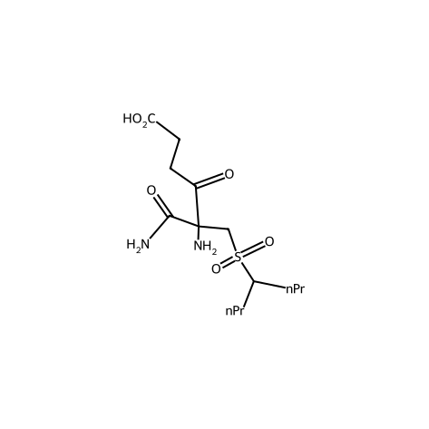 CCCC(CCC)S(=O)(=O)CC(N)(C(N)=O)C(=O)CCC(=O)O